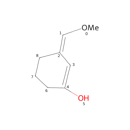 COC=C1C=C(O)CCC1